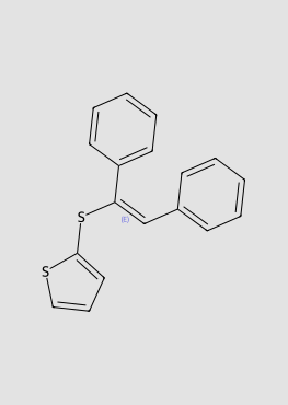 C(=C(\Sc1cccs1)c1ccccc1)/c1ccccc1